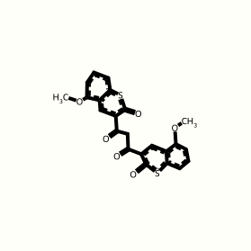 COc1cccc2sc(=O)c(C(=O)CC(=O)c3cc4c(OC)cccc4sc3=O)cc12